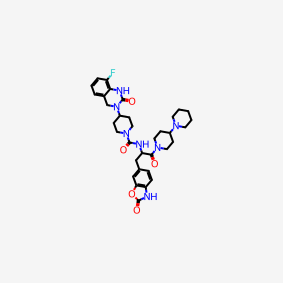 O=C(NC(Cc1ccc2[nH]c(=O)oc2c1)C(=O)N1CCC(N2CCCCC2)CC1)N1CCC(N2Cc3cccc(F)c3NC2=O)CC1